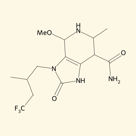 COC1NC(C)C(C(N)=O)c2[nH]c(=O)n(CC(C)CC(F)(F)F)c21